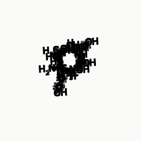 C[C@@H](O)[C@@H]1NC(=O)[C@@H](NC(=O)c2ccc(-c3ccc(O)cc3)cc2)CC(NCCN)CNC(=O)[C@@H]2[C@@H](O)[C@@H](C)CN2C(=O)[C@H](CO)NC(=O)[C@H]([C@H](O)Cc2ccc(O)cc2)NC(=O)[C@@H]2C[C@@H](O)CN2C1=O